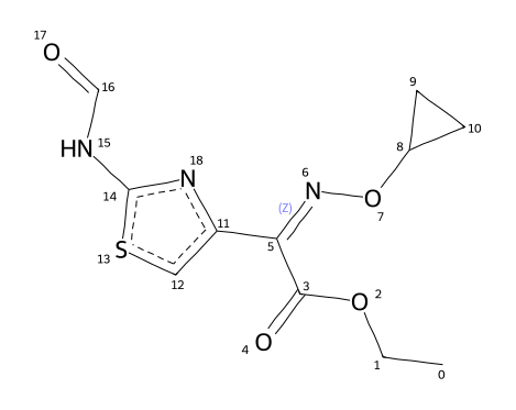 CCOC(=O)/C(=N\OC1CC1)c1csc(NC=O)n1